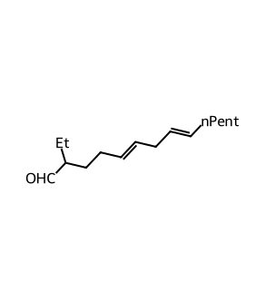 CCCCCC=CCC=CCCC(C=O)CC